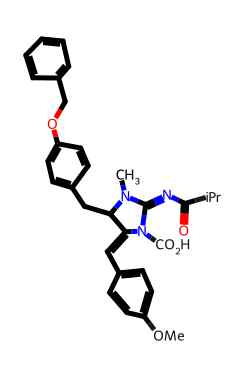 COc1ccc(C=C2C(Cc3ccc(OCc4ccccc4)cc3)N(C)C(=NC(=O)C(C)C)N2C(=O)O)cc1